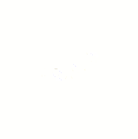 Cc1cc(Nc2nccc(C(C)C)n2)cc(-c2cnc(C3(O)CCC(C(N)=O)C(C)C3)s2)c1